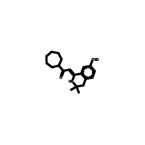 CC1(C)Cc2ccc(C=O)cc2C(=CC(=O)C2CCCCCC2)N1